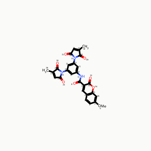 COc1ccc2cc(C(=O)Nc3cc(N4C(=O)C=C(C)C4=O)cc(N4C(=O)C=C(C)C4=O)c3)c(=O)oc2c1